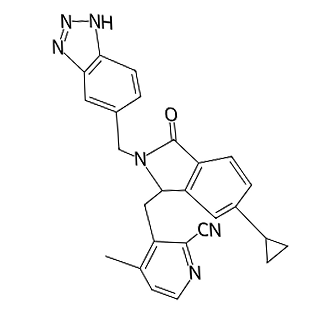 Cc1ccnc(C#N)c1CC1c2cc(C3CC3)ccc2C(=O)N1Cc1ccc2[nH]nnc2c1